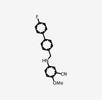 COc1ccc(NCc2ccc(-c3ccc(F)cc3)cc2)cc1C#N